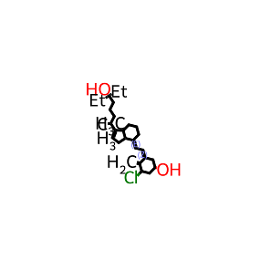 C=C1/C(=C\C=C2/CCCC3(C)C(C(C)CCCC(O)(CC)CC)=CCC23)CC(O)CC1Cl